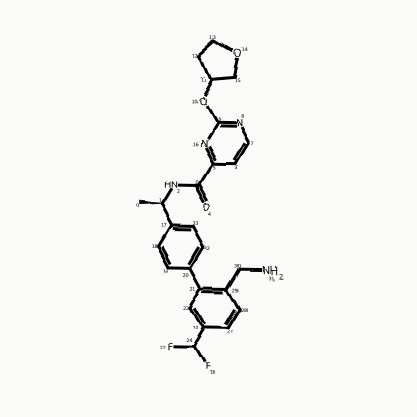 C[C@@H](NC(=O)c1ccnc(OC2CCOC2)n1)c1ccc(-c2cc(C(F)F)ccc2CN)cc1